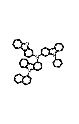 c1ccc(-n2c3ccccc3c3ccc(N(c4ccc5c(c4)oc4ccccc45)c4cccc5c4c4ccccc4n5-c4cccc5ccccc45)cc32)cc1